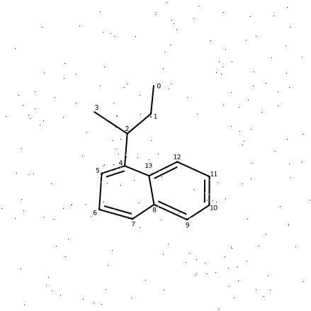 C[CH]C(C)c1cccc2ccccc12